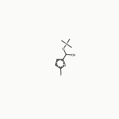 C[Si](C)(C)OC(C#N)c1ccc(F)s1